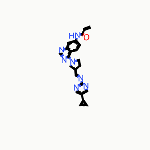 C=CC(=O)Nc1ccc2c(N3CCC(/C=N/c4ncc(C5CC5)cn4)C3)ncnc2c1